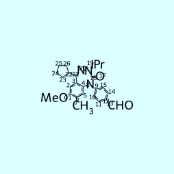 COc1cc2c(cc1C)N(c1ccc(C=O)cc1)C(=O)N(C(C)C)N=C2C1CCCC1